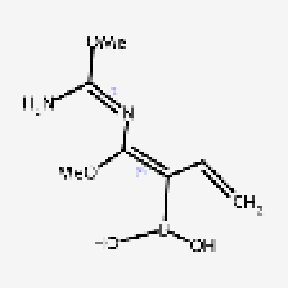 C=C/C(B(O)O)=C(\N=C(/N)OC)OC